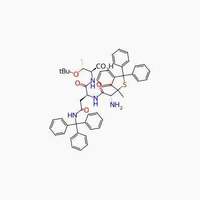 C[C@@H](OC(C)(C)C)[C@H](NC(=O)[C@H](CC(=O)NC(c1ccccc1)(c1ccccc1)c1ccccc1)NC(=O)[C@@H](N)C(C)(C)SC(c1ccccc1)(c1ccccc1)c1ccccc1)C(=O)O